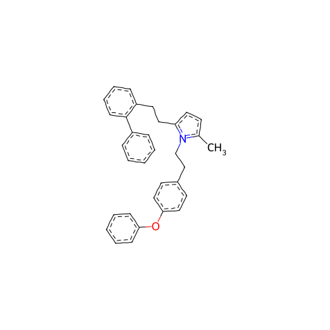 Cc1ccc(CCc2ccccc2-c2ccccc2)n1CCc1ccc(Oc2ccccc2)cc1